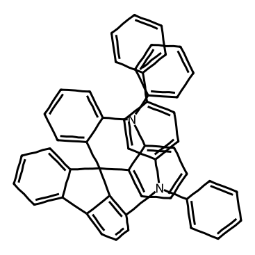 c1ccc(-c2ccc(N(c3ccccc3)c3cccc4c3C3(c5ccccc5-4)c4ccccc4N(c4ccccc4)c4ccccc43)cc2)cc1